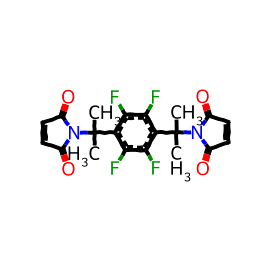 CC(C)(c1c(F)c(F)c(C(C)(C)N2C(=O)C=CC2=O)c(F)c1F)N1C(=O)C=CC1=O